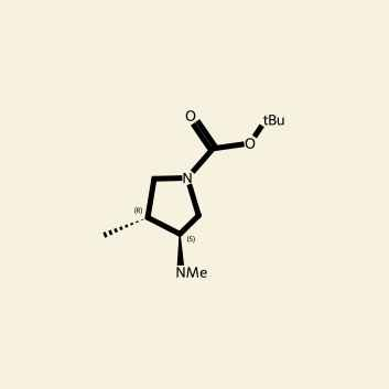 CN[C@@H]1CN(C(=O)OC(C)(C)C)C[C@H]1C